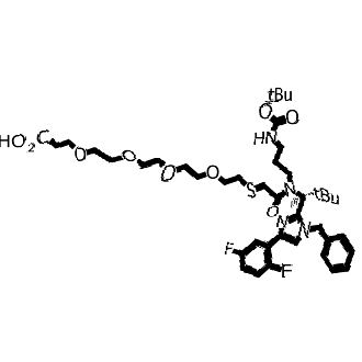 CC(C)(C)OC(=O)NCCCN(C(=O)CSCCOCCOCCOCCOCCC(=O)O)[C@@H](c1nc(-c2cc(F)ccc2F)cn1Cc1ccccc1)C(C)(C)C